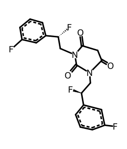 O=C1CC(=O)N(C[C@H](F)c2cccc(F)c2)C(=O)N1C[C@@H](F)c1cccc(F)c1